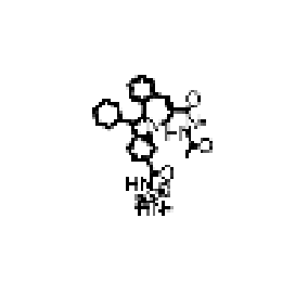 CNS(=O)(=O)NC(=O)c1ccc2c(C3CCCCC3)c3n(c2c1)CC(C(=O)N(C)NC(C)=O)=Cc1ccccc1-3